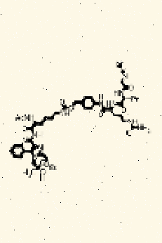 CCOCc1nc2c(NC(=O)[C@H](CCCCNC(=O)OCc3ccc(NC(=O)[C@H](CCCNC(N)=O)NC(=O)[C@@H](NC(=O)CN=[N+]=[N-])C(C)C)cc3)NC(C)=O)nc3ccccc3c2n1CC(C)(C)O